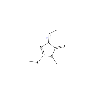 C/C=C1/N=C(SC)N(C)C1=O